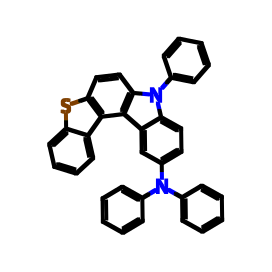 c1ccc(N(c2ccccc2)c2ccc3c(c2)c2c4c(ccc2n3-c2ccccc2)sc2ccccc24)cc1